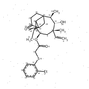 C=C[C@]1(C)C[C@@H](OC(=O)CSc2ccccc2CC)[C@]2(I)C(C)CC34CC(CCC3=O)(C42)[C@@H](C)[C@@H]1O